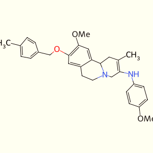 COc1ccc(NC2=C(C)CC3c4cc(OC)c(OCc5ccc(C)cc5)cc4CCN3C2)cc1